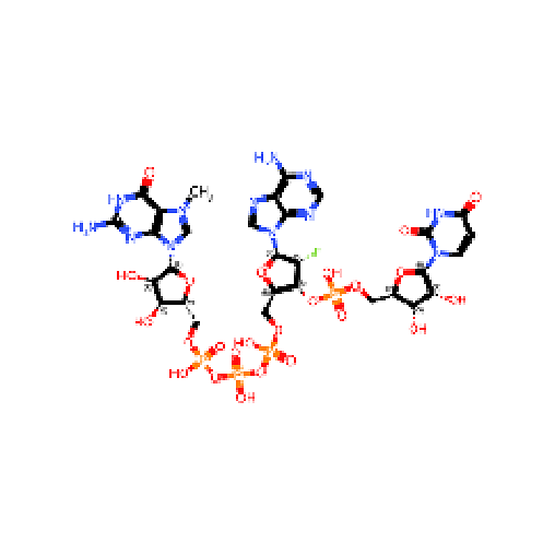 C[n+]1cn([C@@H]2O[C@H](COP(=O)(O)OP(=O)(O)OP(=O)(O)OC[C@H]3O[C@@H](n4cnc5c(N)ncnc54)[C@H](F)[C@@H]3OP(=O)(O)OC[C@H]3O[C@@H](n4ccc(=O)[nH]c4=O)[C@H](O)[C@@H]3O)[C@@H](O)[C@H]2O)c2nc(N)[nH]c(=O)c21